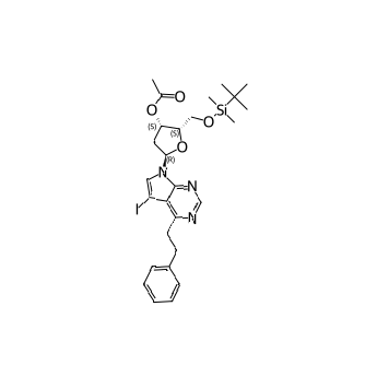 CC(=O)O[C@H]1C[C@H](n2cc(I)c3c(CCc4ccccc4)ncnc32)O[C@H]1CO[Si](C)(C)C(C)(C)C